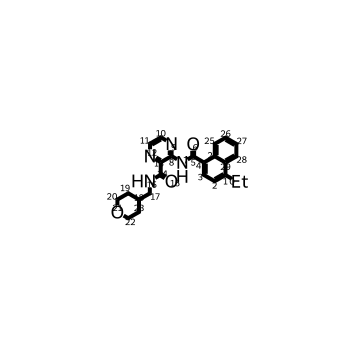 CCc1ccc(C(=O)Nc2nccnc2C(=O)NCC2CCOCC2)c2ccccc12